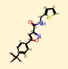 CC(C)(C)c1ccc(-c2cc(C(=O)NCc3cccs3)no2)cc1